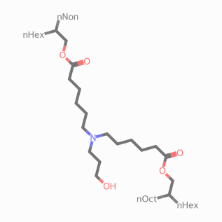 CCCCCCCCCC(CCCCCC)COC(=O)CCCCCN(CCCO)CCCCCC(=O)OCC(CCCCCC)CCCCCCCC